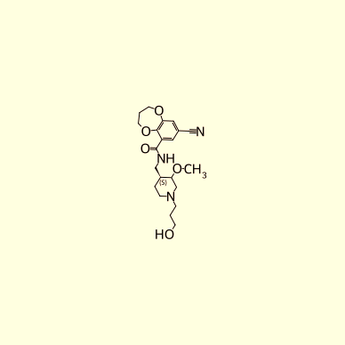 COC1CN(CCCO)CC[C@H]1CNC(=O)c1cc(C#N)cc2c1OCCCO2